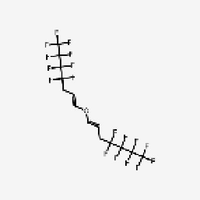 FC(F)(F)C(F)(F)C(F)(F)C(F)(F)CC=COC=CCC(F)(F)C(F)(F)C(F)(F)C(F)(F)F